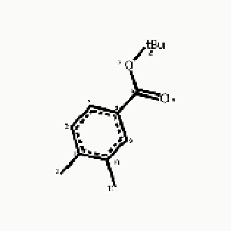 Cc1ccc(C(=O)OC(C)(C)C)cc1C